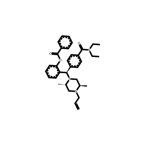 C=CCN1C[C@H](C)N([C@H](c2ccc(C(=O)N(CC)CC)cc2)c2ccccc2OC(=O)c2ccccc2)C[C@H]1C